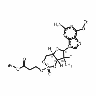 CCOc1nc(N)nc2c1ncn2[C@@H]1O[C@@H]2CO[P@](=O)(OCCC(=O)OC(C)C)O[C@H]2[C@@]1(C)F